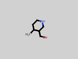 CC1CCNCC1CBr